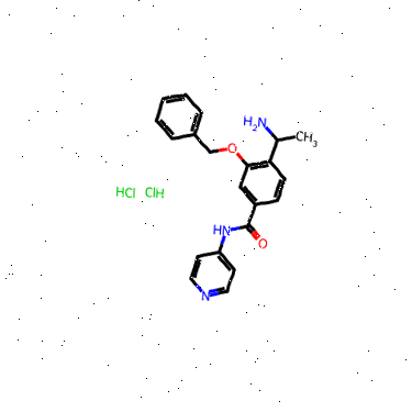 CC(N)c1ccc(C(=O)Nc2ccncc2)cc1OCc1ccccc1.Cl.Cl